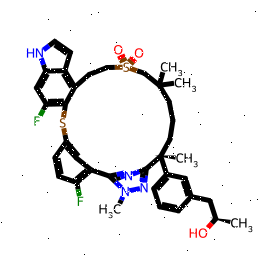 C[C@@H](O)Cc1cccc([C@@]2(C)CCCC(C)(C)CS(=O)(=O)CCc3c(c(F)cc4[nH]ccc34)Sc3ccc(F)c(c3)-c3nc2nn3C)c1